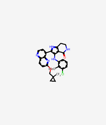 COc1c(Cl)cccc1Nc1c(-c2ccnc3ccc(OCC4(C(F)(F)F)CC4)nc23)[nH]c2c1C(=O)NCC2